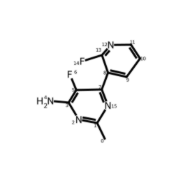 Cc1nc(N)c(F)c(-c2cccnc2F)n1